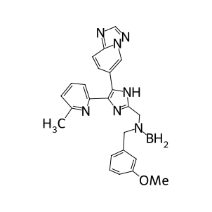 BN(Cc1cccc(OC)c1)Cc1nc(-c2cccc(C)n2)c(-c2ccc3ncnn3c2)[nH]1